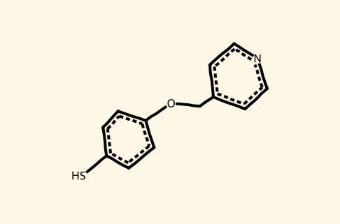 Sc1ccc(OCc2ccncc2)cc1